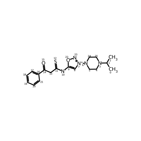 CC(C)N1CCN([n+]2cc([N-]C(=S)CC(=O)c3ccccc3)on2)CC1